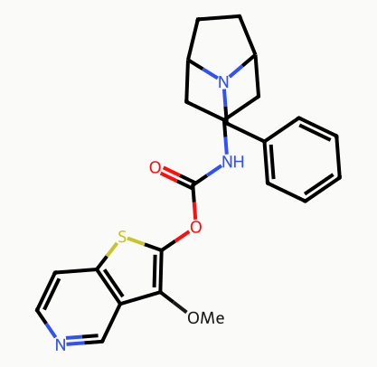 COc1c(OC(=O)NC2CC3CCC(C2)N3Cc2ccccc2)sc2ccncc12